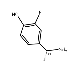 C[C@@H](N)c1ccc(C#N)c(F)c1